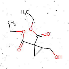 CCOC(=O)C1(C(=O)OCC)CC1CO